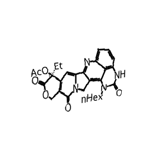 CCCCCCN1C(=O)Nc2cccc3nc4c(c1c23)Cn1c-4cc2c(c1=O)COC(=O)[C@@]2(CC)OC(C)=O